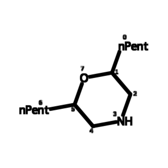 CCCCCC1CNCC(CCCCC)O1